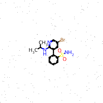 CC(C)Nc1ncc(Br)cc1-c1ccccc1S(N)(=O)=O